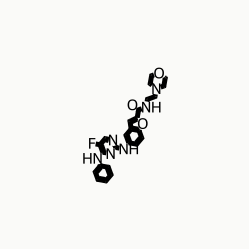 O=C(NCCN1CCOCC1)c1cc2cc(Nc3ncc(F)c(Nc4ccccc4)n3)ccc2o1